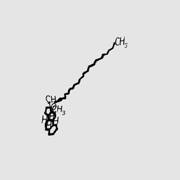 C#C[C@]1(OCC#CCCCCCCCCCCCCCCCCCCCCC)CC[C@H]2[C@@H]3CCC4CC=CC[C@@H]4[C@H]3CC[C@@]21C